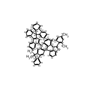 Cc1cc(C)c(-c2nc3cccc4c3n2-c2cccc3c2B4c2cc4c(cc2N3c2cc3c(c5ccccc25)-c2ccccc2C32c3ccccc3-c3ccccc32)C(C)(C)c2ccccc2-4)c(C)c1